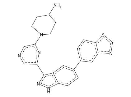 NC1CCN(c2cncc(-c3n[nH]c4ccc(-c5ccc6scnc6c5)cc34)n2)CC1